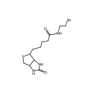 C[C](C)CCNC(=O)CCCCC1SCC2NC(=O)NC21